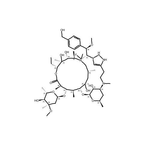 CC[C@H]1OC(=O)[C@H](C)[C@@H](O[C@H]2C[C@@](C)(OC)[C@@H](O)[C@H](C)O2)[C@H](C)[C@@H](O[C@@H]2O[C@H](C)C[C@H](N(C)CCC3=CN([C@H](CF)[C@H](OC)c4ccc(CO)cc4)NN3)[C@H]2O)[C@](C)(O)C[C@@H](C)CN(C)[C@H](C)[C@@H](O)[C@]1(C)O